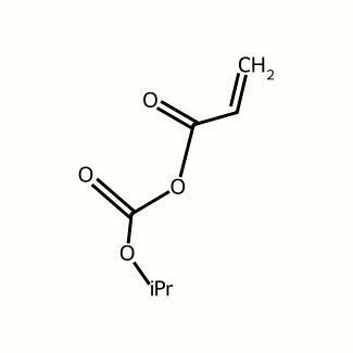 C=CC(=O)OC(=O)OC(C)C